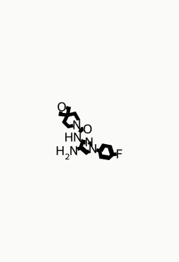 Nc1cn(-c2ccc(F)cc2)nc1NC(=O)N1CCC2(CC1)COC2